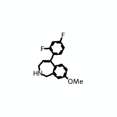 COc1ccc2c(c1)CNCC=C2c1ccc(F)cc1F